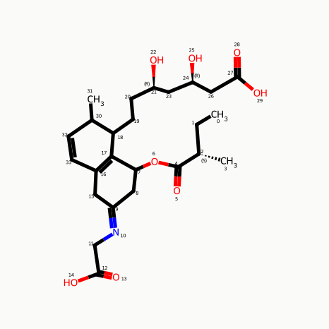 CC[C@H](C)C(=O)OC1CC(=NCC(=O)O)CC2=C1C(CC[C@@H](O)C[C@@H](O)CC(=O)O)C(C)C=C2